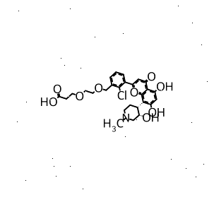 CN1CC[C@H](c2c(O)cc(O)c3c(=O)cc(-c4cccc(COCCOCCC(=O)O)c4Cl)oc23)[C@H](O)C1